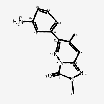 Cc1cc2nn(C)c(=O)n2nc1-c1cccc(N)c1